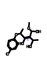 COC(O)/C(=C(/O)C(C)Oc1ccc(Cl)cc1)C(C)O